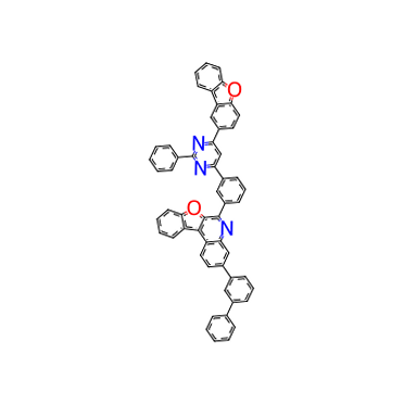 c1ccc(-c2cccc(-c3ccc4c(c3)nc(-c3cccc(-c5cc(-c6ccc7oc8ccccc8c7c6)nc(-c6ccccc6)n5)c3)c3oc5ccccc5c34)c2)cc1